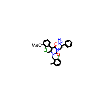 COc1cccc(-c2c(C)n(Cc3c(C)cccc3F)c(=O)n(C[C@@H](N)c3ccccc3)c2=O)c1Cl